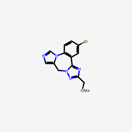 COCc1nc2n(n1)Cc1cncn1-c1ccc(Br)cc1-2